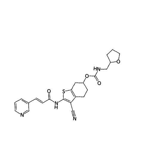 N#Cc1c(NC(=O)/C=C/c2cccnc2)sc2c1CCC(OC(=O)NCC1CCCO1)C2